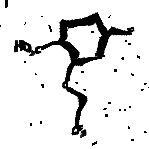 O=C(O)c1ccc(F)cc1OCC(F)(F)F